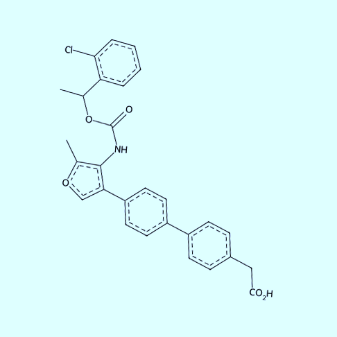 Cc1occ(-c2ccc(-c3ccc(CC(=O)O)cc3)cc2)c1NC(=O)OC(C)c1ccccc1Cl